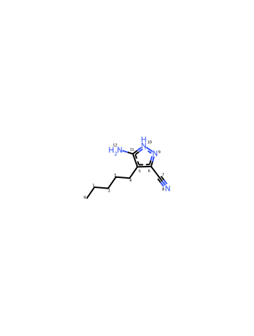 CCCCCc1c(C#N)n[nH]c1N